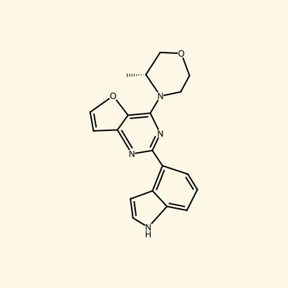 C[C@@H]1COCCN1c1nc(-c2cccc3[nH]ccc23)nc2ccoc12